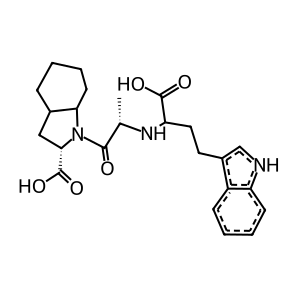 C[C@H](NC(CCc1c[nH]c2ccccc12)C(=O)O)C(=O)N1C2CCCCC2C[C@H]1C(=O)O